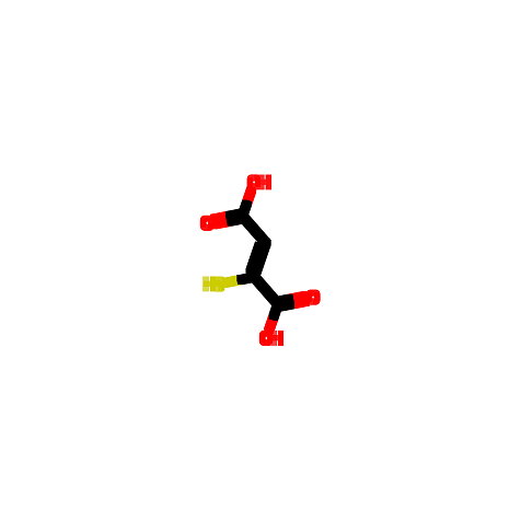 O=C(O)/C=C(\S)C(=O)O